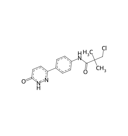 CC(C)(CCl)C(=O)Nc1ccc(-c2ccc(=O)[nH]n2)cc1